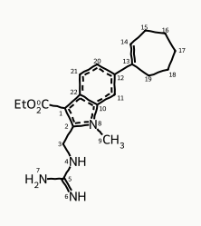 CCOC(=O)c1c(CNC(=N)N)n(C)c2cc(C3=CCCCCC3)ccc12